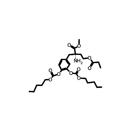 CCCCCOC(=O)Oc1ccc(C[C@](N)(CCOC(=O)CC)C(=O)OC)cc1OC(=O)OCCCCC